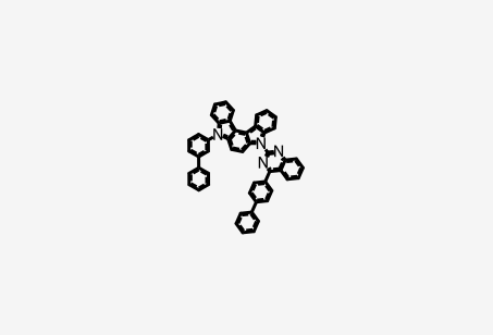 c1ccc(-c2ccc(-c3nc(-n4c5ccccc5c5c6c7ccccc7n(-c7cccc(-c8ccccc8)c7)c6ccc54)nc4ccccc34)cc2)cc1